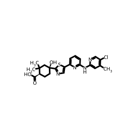 Cc1cc(Nc2cccc(-c3cnc([C@]4(O)CC[C@@H](C(=O)O)C(C)(C)C4)s3)n2)ncc1Cl